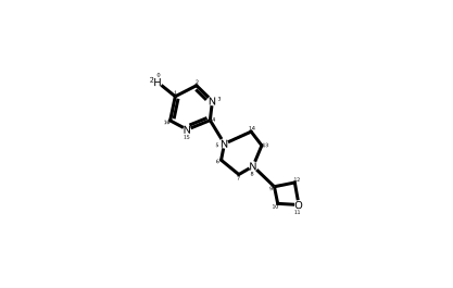 [2H]c1cnc(N2CCN(C3COC3)CC2)nc1